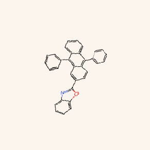 c1ccc(-c2c3ccccc3c(-c3ccccc3)c3cc(-c4nc5ccccc5o4)ccc23)cc1